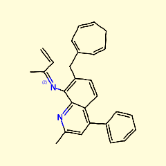 C=C/C(C)=N\c1c(CC2=CC=CCC=C2)ccc2c(-c3ccccc3)cc(C)nc12